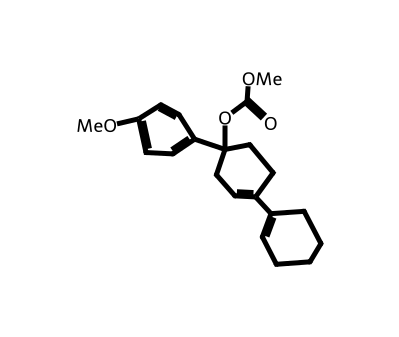 COC(=O)OC1(c2ccc(OC)cc2)CC=C(C2=CCCCC2)CC1